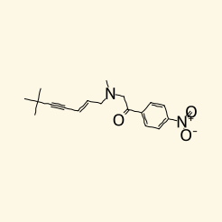 CN(CC=CC#CC(C)(C)C)CC(=O)c1ccc([N+](=O)[O-])cc1